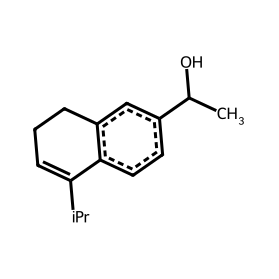 CC(C)C1=CCCc2cc(C(C)O)ccc21